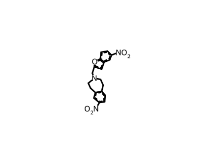 O=[N+]([O-])c1ccc2c(c1)CCN(Cc1cc3cc([N+](=O)[O-])ccc3o1)CC2